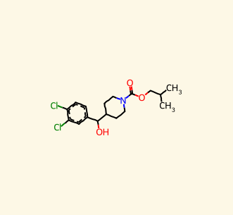 CC(C)COC(=O)N1CCC(C(O)c2ccc(Cl)c(Cl)c2)CC1